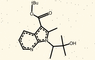 Cc1c(C(=O)OC(C)(C)C)c2cccnc2n1C(C)C(C)(C)O